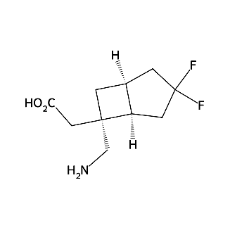 NC[C@]1(CC(=O)O)C[C@H]2CC(F)(F)C[C@H]21